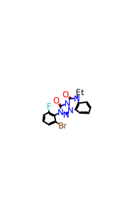 CCN(C(=O)n1nnn(-c2c(F)cccc2Br)c1=O)c1ccccc1